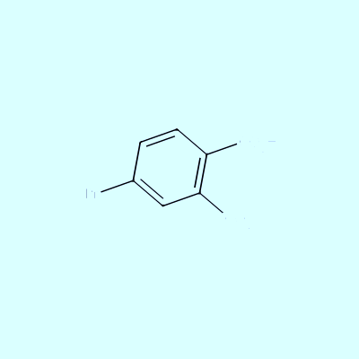 CC(C)c1ccc(C(=O)O)c(C(=O)O)c1